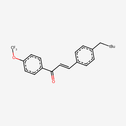 CC(C)(C)Cc1ccc(C=CC(=O)c2ccc(OC(F)(F)F)cc2)cc1